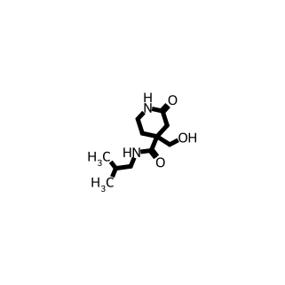 CC(C)CNC(=O)C1(CO)CCNC(=O)C1